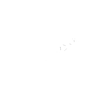 CCCCCCCCOC1CCC(COc2ccc(C=CC(=O)O)cc2)CC1